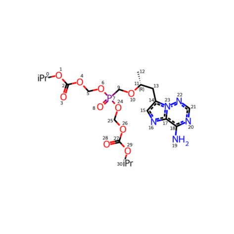 CC(C)OC(=O)OCOP(=O)(CO[C@H](C)Cc1cnc2c(N)ncnn12)OCOC(=O)OC(C)C